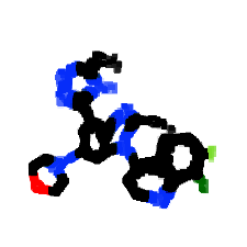 Cc1nnc(-c2cc(N3CCOCC3)cc3c2nc(C)n3-c2ccnc3c(Cl)c(F)ccc23)[nH]1